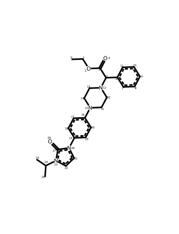 CCOC(=O)C(c1ccccc1)N1CCN(c2ccc(-n3ccn(C(C)C)c3=O)cc2)CC1